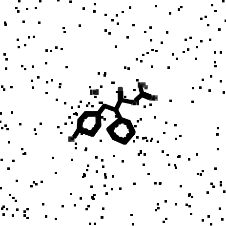 CCc1ccc(CC(C(=O)NC(=N)N)c2ccccc2)cc1.Cl